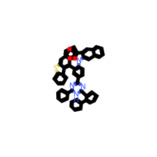 c1ccc(-c2ccccc2C2=NC(c3ccc(-n4c5ccccc5c5cc6ccccc6cc54)c(-c4c5ccccc5cc5sc6ccccc6c45)c3)=NC(c3ccccc3)N2)cc1